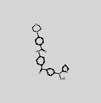 O=CN(c1ccc(C(=O)c2ccc(NC(=O)c3ccc(N4CCOCC4)cc3)cc2)cc1)c1cccs1